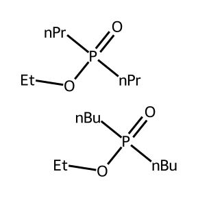 CCCCP(=O)(CCCC)OCC.CCCP(=O)(CCC)OCC